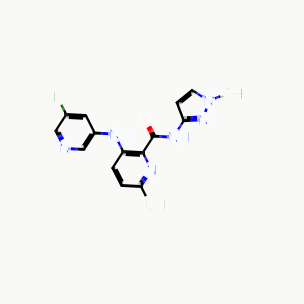 Cc1ccc(Nc2cncc(F)c2)c(C(=O)Nc2ccn(C)n2)n1